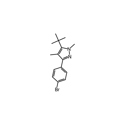 Cc1c(-c2ccc(Br)cc2)nn(C)c1C(C)(C)C